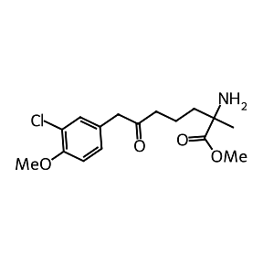 COC(=O)C(C)(N)CCCC(=O)Cc1ccc(OC)c(Cl)c1